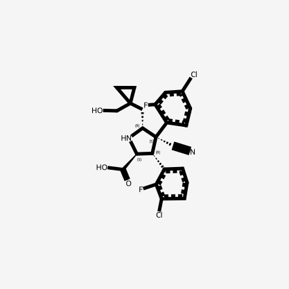 N#C[C@]1(c2ccc(Cl)cc2F)[C@H](c2cccc(Cl)c2F)[C@@H](C(=O)O)N[C@@H]1CC1(CO)CC1